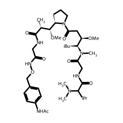 CC[C@H](C)[C@@H]([C@@H](CC(=O)N1CCC[C@H]1[C@H](OC)[C@@H](C)C(=O)NCC(=O)NOCc1ccc(NC(C)=O)cc1)OC)N(C)C(=O)CNC(=O)C(C(C)C)N(C)C